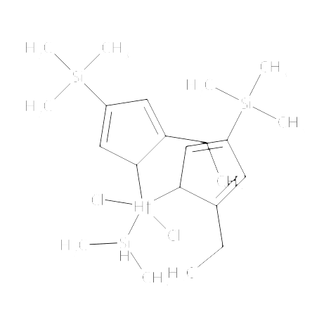 CCC1=CC([Si](C)(C)C)=C[CH]1[Hf]([Cl])([Cl])([CH]1C=C([Si](C)(C)C)C=C1CC)[SiH](C)C